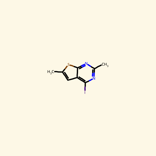 Cc1nc(I)c2cc(C)sc2n1